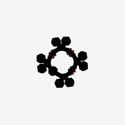 O=C1C2=C(c3ccccc3)C(c3ccccc3)=C1c1ccc(cc1)C1=C(c3ccccc3)C(c3ccccc3)=C(C1=O)c1ccc(cc1)C1=C(c3ccccc3)C(c3ccccc3)=C(C1=O)c1ccc(cc1)C1=C(c3ccccc3)C(c3ccccc3)=C(C1=O)c1ccc2cc1